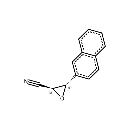 N#C[C@@H]1O[C@H]1c1ccc2ccccc2c1